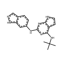 CC(C)(C)Nc1nc(Nc2ccc3cn[nH]c3c2)nc2[nH]ccc12